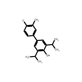 Cc1cc(-c2cc(C(C)C)c(O)c(C(C)C)c2)ccc1F